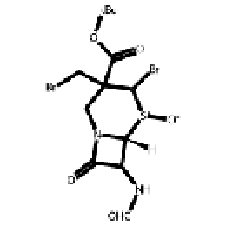 CC(C)(C)OC(=O)C1(CBr)CN2C(=O)C(NC=O)[C@H]2[S+]([O-])C1Br